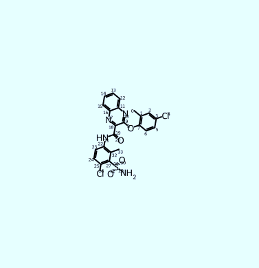 Cc1cc(Cl)ccc1Oc1nc2ccccc2nc1C(=O)Nc1ccc(Cl)c(S(N)(=O)=O)c1C